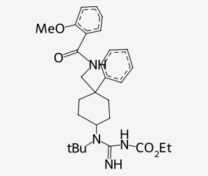 CCOC(=O)NC(=N)N(C1CCC(CNC(=O)c2ccccc2OC)(c2ccccc2)CC1)C(C)(C)C